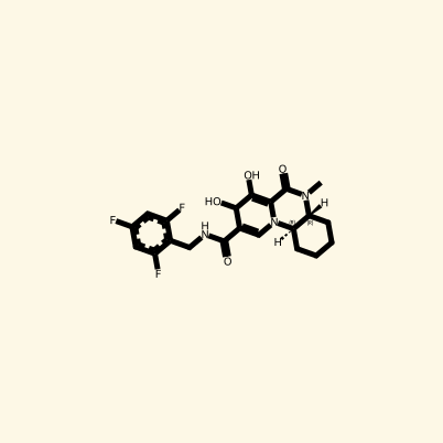 CN1C(=O)C2=C(O)C(O)C(C(=O)NCc3c(F)cc(F)cc3F)=CN2[C@@H]2CCCC[C@H]21